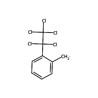 [CH2]c1ccccc1C(Cl)(Cl)C(Cl)(Cl)Cl